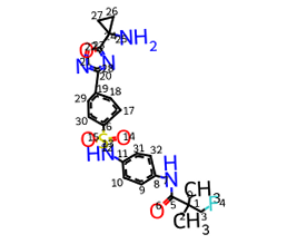 CC(C)(CF)C(=O)Nc1ccc(NS(=O)(=O)c2ccc(-c3noc(C4(N)CC4)n3)cc2)cc1